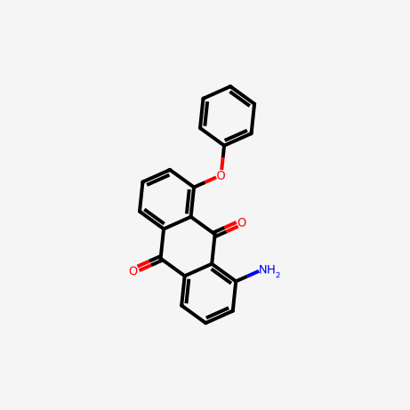 Nc1cccc2c1C(=O)c1c(Oc3ccccc3)cccc1C2=O